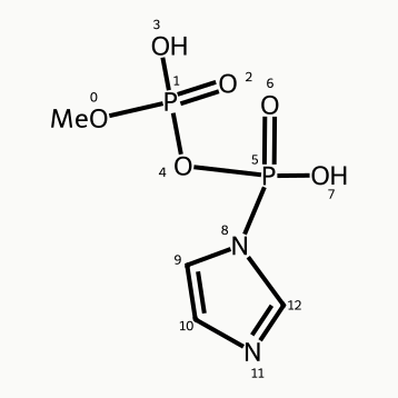 COP(=O)(O)OP(=O)(O)n1ccnc1